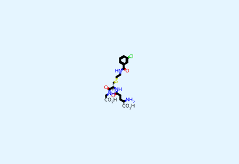 N[C@@H](CCC(=O)N[C@@H](CSCCNC(=O)c1cccc(Cl)c1)C(=O)NCC(=O)O)C(=O)O